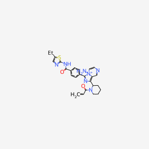 C=CC(=O)N1CCCCC1C1=C2C=NC=C[N+]2(N)C(c2ccc(C(=O)Nc3ncc(CC)s3)cc2)=N1